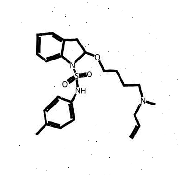 C=CCN(C)CCCCOC1Cc2ccccc2N1S(=O)(=O)Nc1ccc(C)cc1